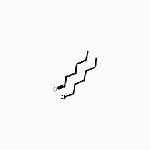 CCCCCC=O.CCCCCCCl